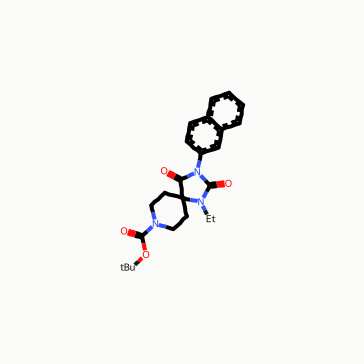 CCN1C(=O)N(c2ccc3ccccc3c2)C(=O)C12CCN(C(=O)OC(C)(C)C)CC2